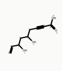 C=CC(O)CC(O)CC#CC(=O)O